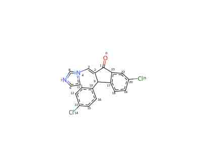 O=C1/C(=C/n2ccnc2)C(c2ccc(Cl)cc2)c2ccc(Cl)cc21